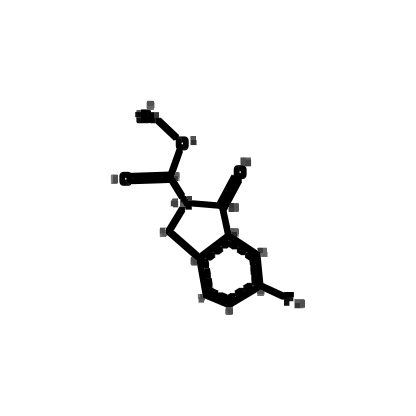 CC(C)(C)OC(=O)N1Cc2ccc(F)cc2C1=O